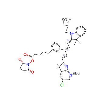 CCCC[n+]1cc(Cl)cc2c1N=C(/C=C/C(=C/C=C1/N(CCCS(=O)(=O)O)c3ccccc3C1(C)C)c1cccc(CCCCC(=O)ON3C(=O)CCC3=O)c1)C2(C)C